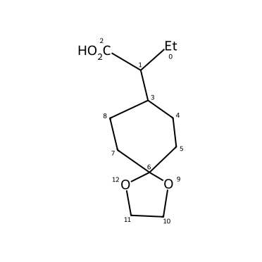 CCC(C(=O)O)C1CCC2(CC1)OCCO2